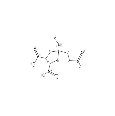 CNC(CCC(C)=O)(CCC(=O)O)CCC(=O)O